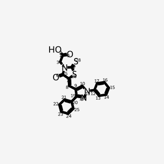 O=C(O)CN1C(=O)C(=Cc2cn(-c3ccccc3)nc2-c2ccccc2)SC1=S